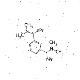 CCCC(c1[c]c(C(CCC)N(C)C)ccc1)N(C)C